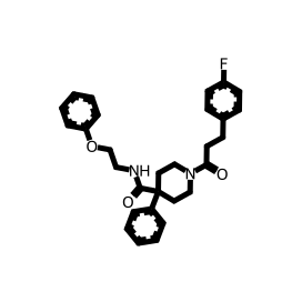 O=C(CCc1ccc(F)cc1)N1CCC(C(=O)NCCOc2ccccc2)(c2ccccc2)CC1